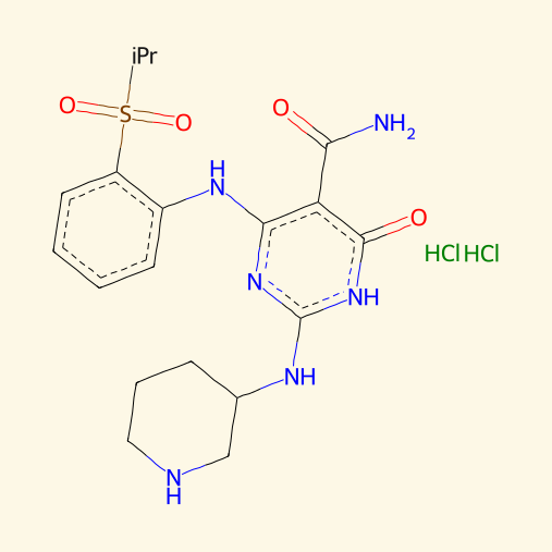 CC(C)S(=O)(=O)c1ccccc1Nc1nc(NC2CCCNC2)[nH]c(=O)c1C(N)=O.Cl.Cl